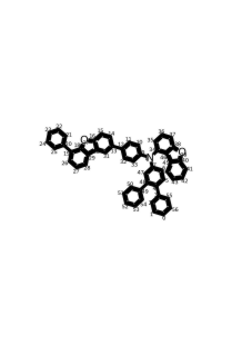 c1ccc(-c2ccc(N(c3ccc(-c4ccc5oc6c(-c7ccccc7)cccc6c5c4)cc3)c3cccc4oc5ccccc5c34)cc2-c2ccccc2)cc1